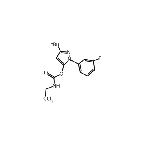 CC(C)(C)c1cc(OC(=O)NCC(Cl)(Cl)Cl)n(-c2cccc(F)c2)n1